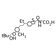 CCC(CCc1ccc(OCC(O)C(C)(C)C)c(C)c1)c1ccc2cc(C(=O)NCC(=O)O)sc2c1